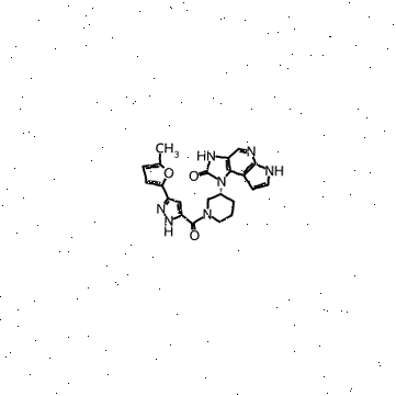 Cc1ccc(-c2cc(C(=O)N3CCC[C@@H](n4c(=O)[nH]c5cnc6[nH]ccc6c54)C3)[nH]n2)o1